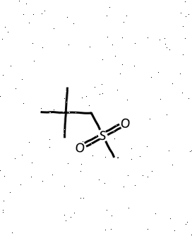 [CH2]S(=O)(=O)CC(C)(C)C